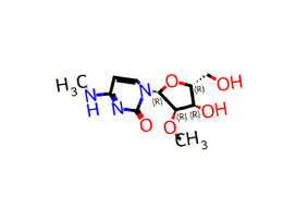 CNc1ccn([C@@H]2O[C@H](CO)[C@@H](O)[C@H]2OC)c(=O)n1